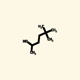 CC(O)CCC(C)(C)C